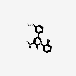 CCN(C)c1cc(-c2cccc(OC)c2)nn(-c2ccccc2Br)c1=O